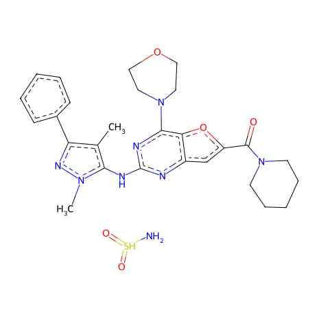 Cc1c(-c2ccccc2)nn(C)c1Nc1nc(N2CCOCC2)c2oc(C(=O)N3CCCCC3)cc2n1.N[SH](=O)=O